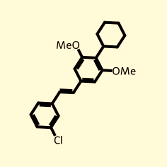 COc1cc(C=Cc2cccc(Cl)c2)cc(OC)c1C1CCCCC1